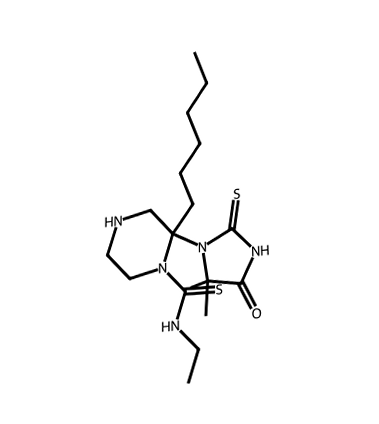 CCCCCCC1(N2C(=S)NC(=O)C2(C)C)CNCCN1C(=S)NCC